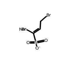 O=S(=O)([O-])C(Br)=CCBr.[Na+]